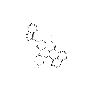 O=C(c1ccc(-n2nnc3cccnc32)cc1F)N(c1nccc2cccc(/C=C/CO)c12)[C@@H]1CCCNC1